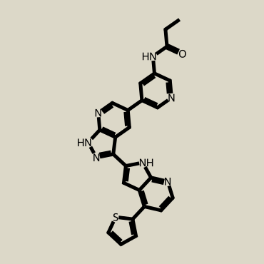 CCC(=O)Nc1cncc(-c2cnc3[nH]nc(-c4cc5c(-c6cccs6)ccnc5[nH]4)c3c2)c1